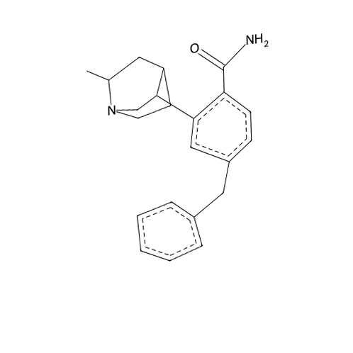 CC1CC2CCN1CC2c1cc(Cc2ccccc2)ccc1C(N)=O